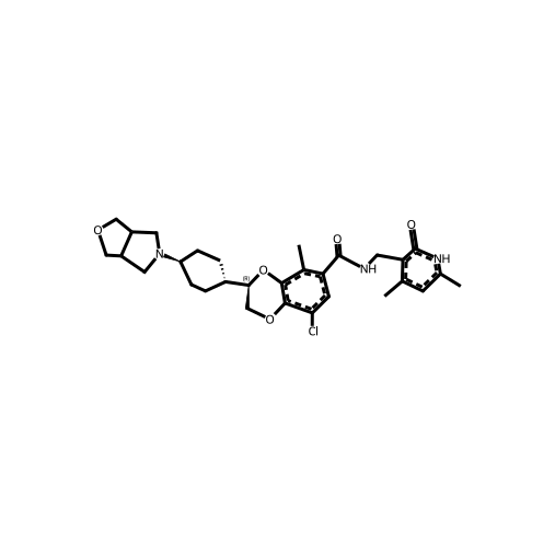 Cc1cc(C)c(CNC(=O)c2cc(Cl)c3c(c2C)O[C@H]([C@H]2CC[C@H](N4CC5COCC5C4)CC2)CO3)c(=O)[nH]1